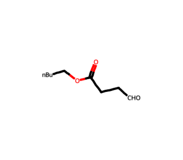 CCCCCOC(=O)CCC=O